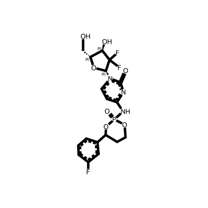 O=c1nc(NP2(=O)OCCC(c3cccc(F)c3)O2)ccn1[C@@H]1O[C@H](CO)[C@@H](O)C1(F)F